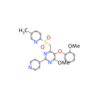 COc1ccccc1Oc1c(CS(=O)(=O)c2ccc(C)cn2)nc(-c2ccncc2)nc1OC